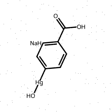 O=C(O)c1cc[c]([Hg][OH])cc1.[NaH]